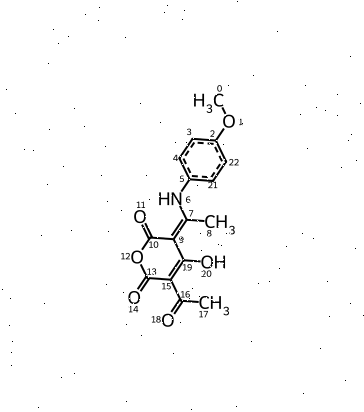 COc1ccc(NC(C)=C2C(=O)OC(=O)C(C(C)=O)=C2O)cc1